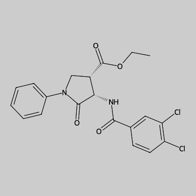 CCOC(=O)[C@H]1CN(c2ccccc2)C(=O)[C@H]1NC(=O)c1ccc(Cl)c(Cl)c1